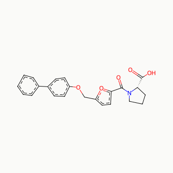 O=C(O)[C@@H]1CCCN1C(=O)c1ccc(COc2ccc(-c3ccccc3)cc2)o1